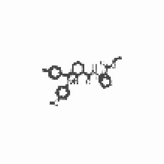 CCOC(=O)[C@H]1C2CCC(C2)[C@@H]1NC(=O)C1CCCc2c1nn(-c1ccc(OC)cc1)c2-c1ccc(C)cc1